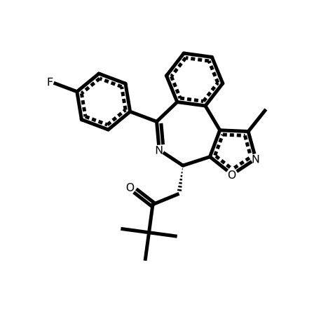 Cc1noc2c1-c1ccccc1C(c1ccc(F)cc1)=N[C@H]2CC(=O)C(C)(C)C